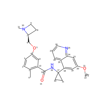 Cc1ccc(OC[C@@H]2CCN2C)cc1C(=O)NC1(c2cc(OC(C)C)cc3ncccc23)CC1